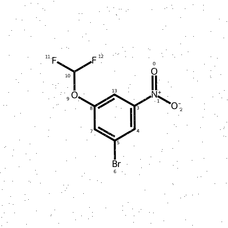 O=[N+]([O-])c1cc(Br)cc(OC(F)F)c1